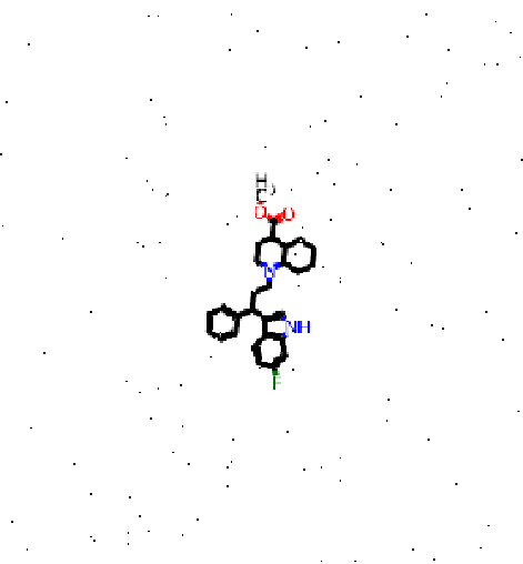 COC(=O)C1CCN(CCC(c2ccccc2)c2c[nH]c3cc(F)ccc23)C2CCCCC12